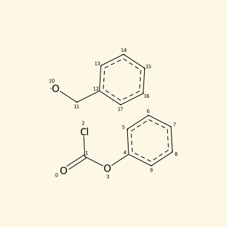 O=C(Cl)Oc1ccccc1.[O]Cc1ccccc1